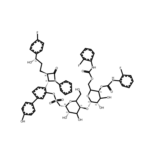 O=C(Nc1ccccc1F)OCC1O[C@@H](O[C@@H]2C(CO)O[C@@H](CS(=O)(=O)Oc3cc(-c4ccc(O)cc4)ccc3[C@@H]3[C@@H](CC[C@H](O)c4ccc(F)cc4)C(=O)N3c3ccccc3)[C@@H](O)C2O)[C@@H](O)C(O)[C@@H]1OC(=O)Nc1ccccc1F